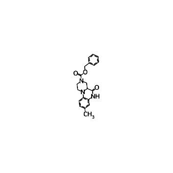 Cc1ccc2c(c1)NC(=O)C1CN(C(=O)OCc3ccccc3)CCN21